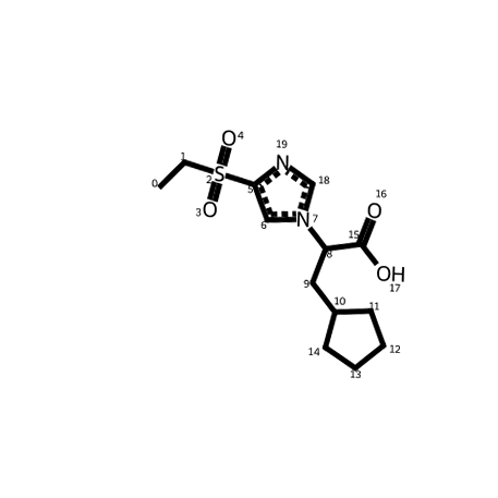 CCS(=O)(=O)c1cn(C(CC2CCCC2)C(=O)O)cn1